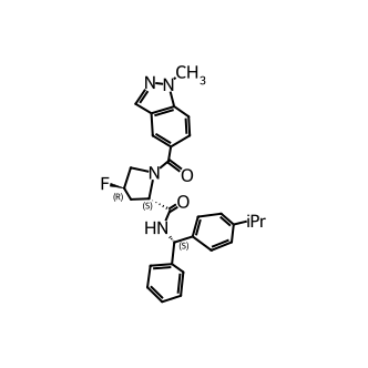 CC(C)c1ccc([C@@H](NC(=O)[C@@H]2C[C@@H](F)CN2C(=O)c2ccc3c(cnn3C)c2)c2ccccc2)cc1